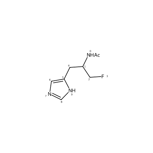 CC(=O)NC(CF)Cc1cnc[nH]1